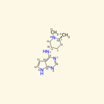 C[C@H]1CC[C@H](Nc2ncnc3[nH]ccc23)CN1C